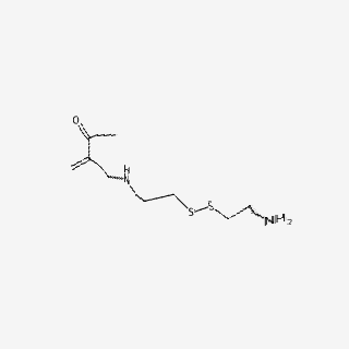 C=C(CNCCSSCCN)C(C)=O